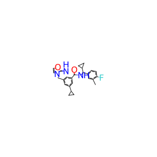 Cc1cc([C@@H](NC(=O)c2cc(Cn3ccoc3=N)cc(C3CC3)c2)C2CC2)ccc1F